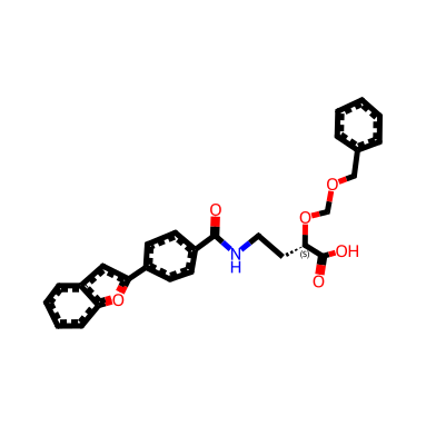 O=C(NCC[C@H](OCOCc1ccccc1)C(=O)O)c1ccc(-c2cc3ccccc3o2)cc1